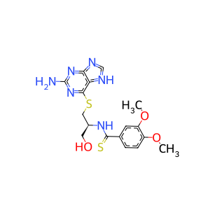 COc1ccc(C(=S)N[C@@H](CO)CSc2nc(N)nc3nc[nH]c23)cc1OC